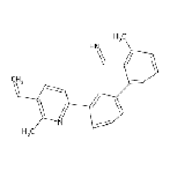 C=Cc1ccc(-c2cccc(-c3cccc(C)c3C=N)c2)nc1C